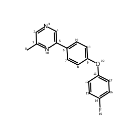 Cc1cncc(-c2ccc(Oc3ccc(F)cc3)cc2)n1